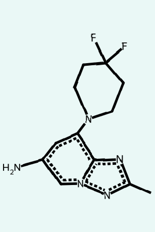 Cc1nc2c(N3CCC(F)(F)CC3)cc(N)cn2n1